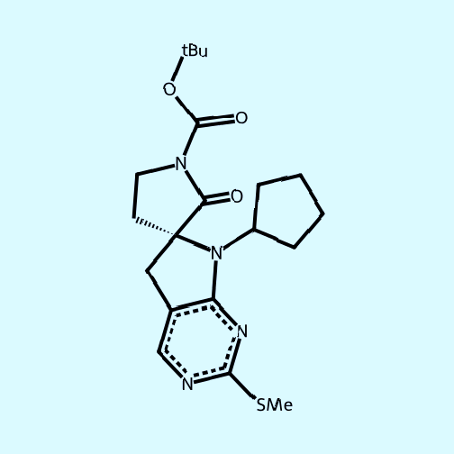 CSc1ncc2c(n1)N(C1CCCC1)[C@@]1(CCN(C(=O)OC(C)(C)C)C1=O)C2